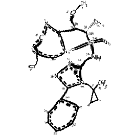 CO[C@H](c1ncc(Cl)cn1)[C@H](C)S(=O)(=O)Nc1nnc(-c2ccccc2)n1C1(C)CC1